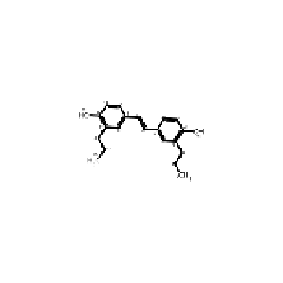 CCCc1cc(C=Cc2ccc(O)c(CCC)c2)ccc1O